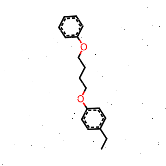 CCc1ccc(OCCCCOc2ccccc2)cc1